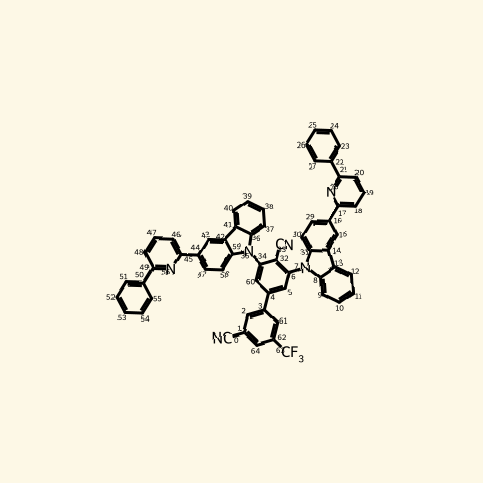 N#Cc1cc(-c2cc(-n3c4ccccc4c4cc(-c5cccc(-c6ccccc6)n5)ccc43)c(C#N)c(-n3c4ccccc4c4cc(-c5cccc(-c6ccccc6)n5)ccc43)c2)cc(C(F)(F)F)c1